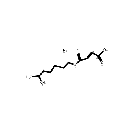 CC(C)CCCCCOC(=O)C=CC(=O)[O-].[Na+]